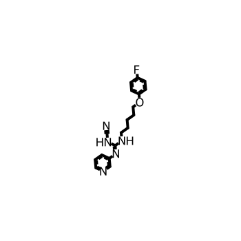 N#CN/C(=N\c1cccnc1)NCCCCCOc1ccc(F)cc1